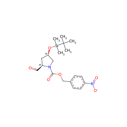 CC(C)(C)[Si](C)(C)O[C@@H]1C[C@H](C=O)N(C(=O)OCc2ccc([N+](=O)[O-])cc2)C1